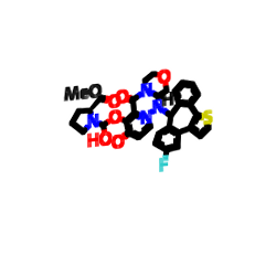 COC(=O)[C@@H]1CCCN1C(O)Oc1c2n(ccc1=O)N(C1c3ccc(F)cc3-c3ccsc3-c3ccccc31)[C@@H]1COCCN1C2=O